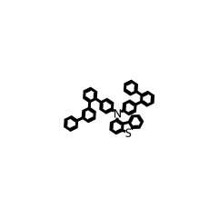 c1ccc(-c2cccc(-c3ccccc3-c3ccc(N(c4ccc(-c5ccccc5-c5ccccc5)cc4)c4cccc5sc6ccccc6c45)cc3)c2)cc1